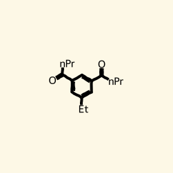 CCCC(=O)c1cc(CC)cc(C(=O)CCC)c1